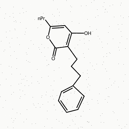 CCCc1cc(O)c(CCCc2ccccc2)c(=O)o1